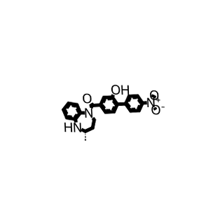 C[C@H]1CCN(C(=O)c2ccc(-c3ccc([N+](=O)[O-])cc3)c(O)c2)c2ccccc2N1